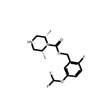 C[C@@H]1CNC[C@H](C)N1C(=O)OCc1cc(OC(F)F)ccc1F